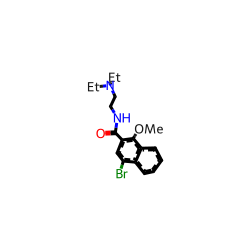 CCN(CC)CCNC(=O)c1cc(Br)c2ccccc2c1OC